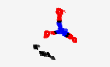 B.O=[N+]([O-])[O-].[K+]